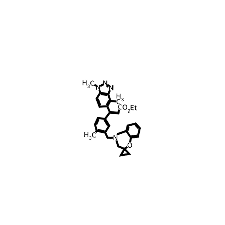 CCOC(=O)CC(c1ccc(C)c(CN2Cc3ccccc3OC3(CC3)C2)c1)c1ccc2c(nnn2C)c1C